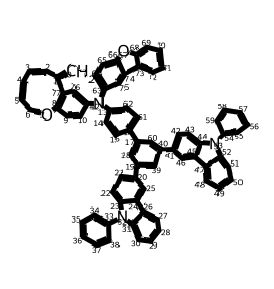 C=C1/C=C\C=C/COc2ccc(N(c3ccc(-c4cc(-c5ccc6c(c5)c5ccccc5n6-c5ccccc5)cc(-c5ccc6c(c5)c5ccccc5n6-c5ccccc5)c4)cc3)c3ccc4oc5ccccc5c4c3)cc21